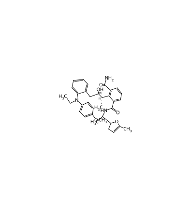 CCN(c1ccc(OC)cc1)c1ccccc1C[C@@H](O)[C@@H](C)c1c(C(N)=O)cccc1C(=O)NC(C)C1CC=C(C)O1